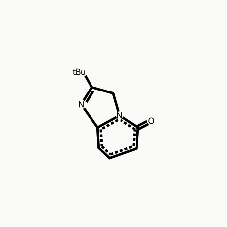 CC(C)(C)C1=Nc2cccc(=O)n2C1